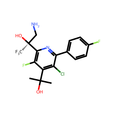 CC(C)(O)c1c(F)c([C@@](O)(CN)C(F)(F)F)nc(-c2ccc(F)cc2)c1Cl